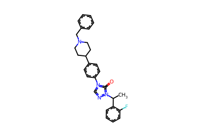 CC(c1ccccc1F)n1ncn(-c2ccc(C3CCN(Cc4ccccc4)CC3)cc2)c1=O